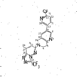 Cc1c(N2CCc3ncc(-c4ccc(C(F)(F)F)nc4)cc3C2)nn2c(C(F)(F)F)nnc2c1C